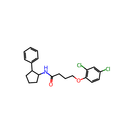 O=C(CCCOc1ccc(Cl)cc1Cl)NC1CCCC1c1ccccc1